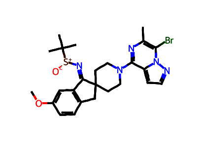 COc1ccc2c(c1)/C(=N\[S@+]([O-])C(C)(C)C)C1(CCN(c3nc(C)c(Br)n4nccc34)CC1)C2